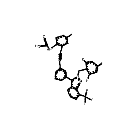 O=C(O)Nc1ccc(F)cc1C#Cc1cccc(-c2c3cccc(C(F)(F)F)c3nn2Cc2c(F)cc(F)cc2F)c1